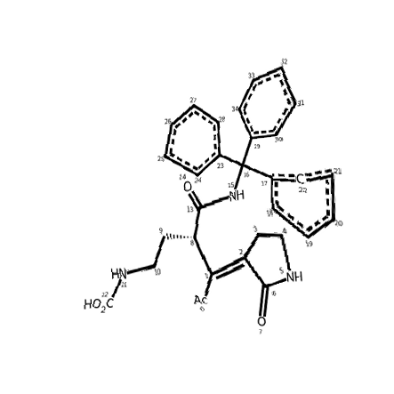 CC(=O)C(=C1CCNC1=O)[C@H](CCNC(=O)O)C(=O)NC(c1ccccc1)(c1ccccc1)c1ccccc1